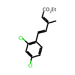 CCOC(=O)C=C(C)C=Cc1ccc(Cl)cc1Cl